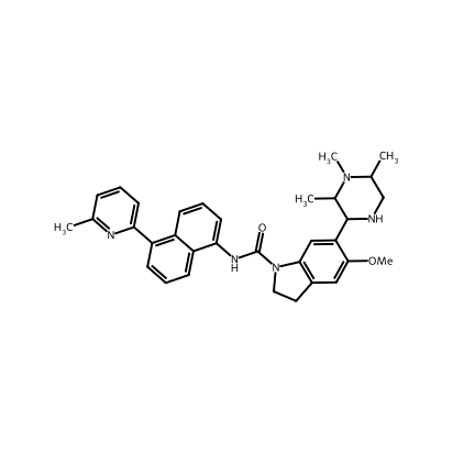 COc1cc2c(cc1C1NCC(C)N(C)C1C)N(C(=O)Nc1cccc3c(-c4cccc(C)n4)cccc13)CC2